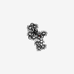 c1cc(-c2ccc3c(c2)C2(c4ccccc4-c4ccccc42)c2ccccc2-3)cc(-c2ccc3oc4cccc(-c5nc(-c6ccc7oc8ccccc8c7c6)nc(-c6cccc7oc8ccccc8c67)n5)c4c3c2)c1